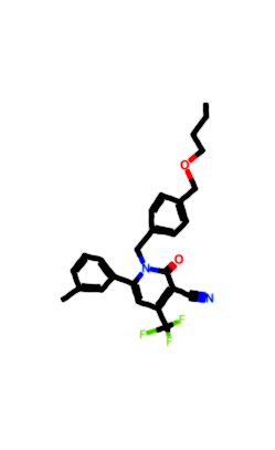 CCCCOCc1ccc(Cn2c(-c3cccc(C)c3)cc(C(F)(F)F)c(C#N)c2=O)cc1